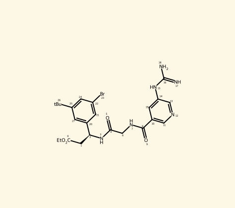 CCOC(=O)C[C@H](NC(=O)CNC(=O)c1cncc(NC(=N)N)c1)c1cc(Br)cc(C(C)(C)C)c1